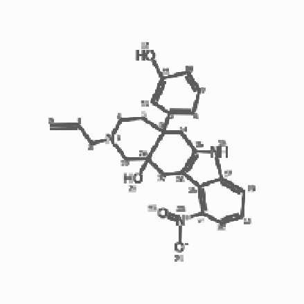 C=CCN1CCC2(c3cccc(O)c3)Cc3[nH]c4cccc([N+](=O)[O-])c4c3CC2(O)C1